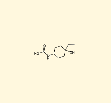 CCC1(O)CCC(NC(=O)O)CC1